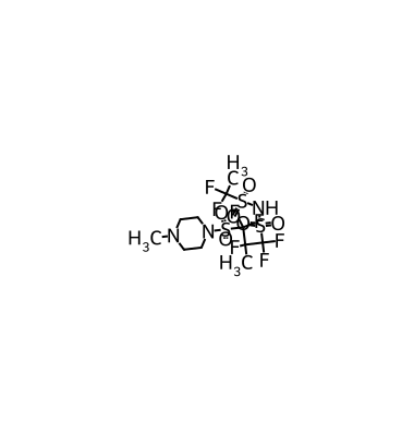 CN1CCN(S(=O)(=O)C(F)(F)C(C)(F)C(F)(F)S(=O)(=O)NS(=O)(=O)C(C)(F)F)CC1